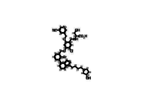 N#Cc1cncc(COc2cc(OCc3cccc(-c4cccc5c4cnn5CCCCN4CC[C@@H](O)C4)c3Br)c(Cl)cc2CN[C@@H](CO)C(=O)O)c1